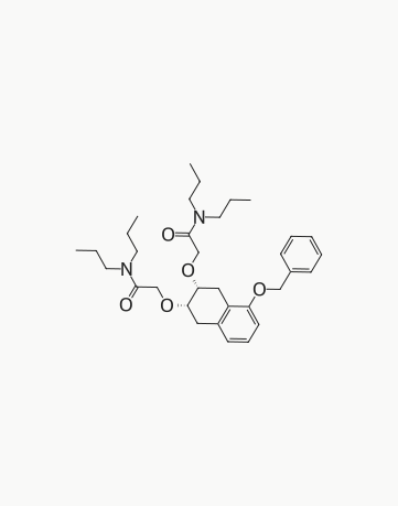 CCCN(CCC)C(=O)CO[C@H]1Cc2cccc(OCc3ccccc3)c2C[C@H]1OCC(=O)N(CCC)CCC